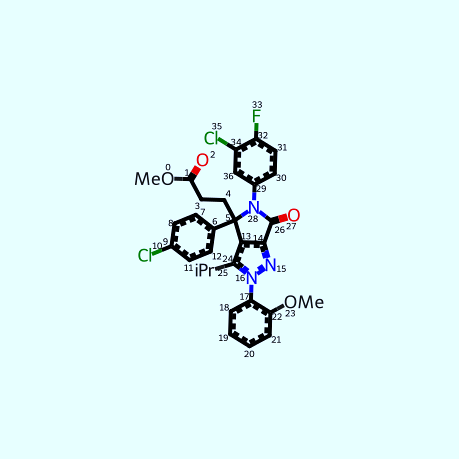 COC(=O)CCC1(c2ccc(Cl)cc2)c2c(nn(-c3ccccc3OC)c2C(C)C)C(=O)N1c1ccc(F)c(Cl)c1